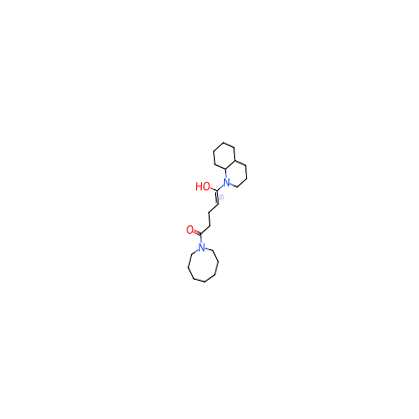 O=C(CC/C=C(\O)N1CCCC2CCCCC21)N1CCCCCCC1